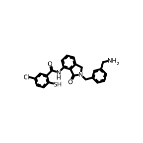 NCc1cccc(CN2Cc3cccc(NC(=O)c4cc(Cl)ccc4S)c3C2=O)c1